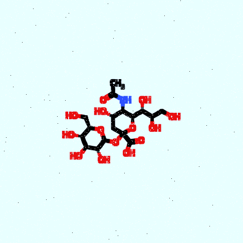 CC(=O)N[C@H]1[C@H]([C@H](O)[C@H](O)CO)O[C@](OC2O[C@H](CO)[C@@H](O)[C@H](O)[C@H]2O)(C(=O)O)C[C@@H]1O